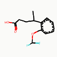 CC(CCC(=O)O)c1ccccc1OC(F)F